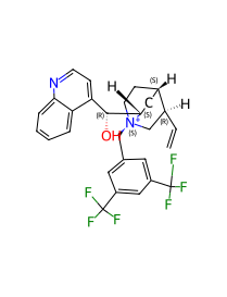 C=C[C@H]1C[N@+]2(Cc3cc(C(F)(F)F)cc(C(F)(F)F)c3)CC[C@H]1C[C@H]2[C@H](O)c1ccnc2ccccc12